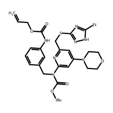 C=CCOC(=O)Nc1cccc(CN(C(=O)OC(C)(C)C)c2cc(N3CCOCC3)cc(CSc3n[nH]c(CC)n3)n2)c1